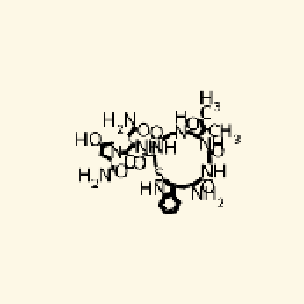 CC[C@H](C)[C@@H]1NC(=O)CNC(=O)C(N)Cc2c([nH]c3ccccc23)SC[C@@H](C(=O)N[C@@H](CC(N)=O)C(=O)N2C[C@H](O)C[C@H]2C(N)=O)NC(=O)CNC1=O